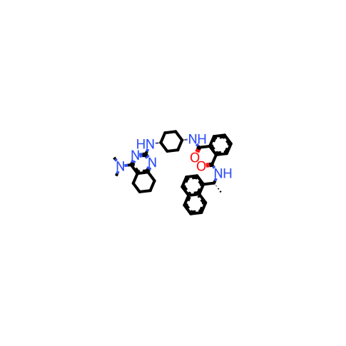 C[C@@H](NC(=O)c1ccccc1C(=O)N[C@H]1CC[C@@H](Nc2nc3c(c(N(C)C)n2)CCCC3)CC1)c1cccc2ccccc12